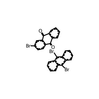 Brc1c2ccccc2c(Br)c2ccccc12.O=C1c2ccccc2C(=O)c2cc(Br)ccc21